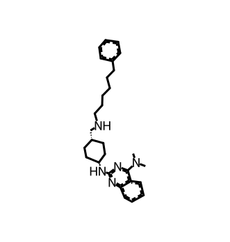 CN(C)c1nc(N[C@H]2CC[C@@H](CNCCCCCCc3ccccc3)CC2)nc2ccccc12